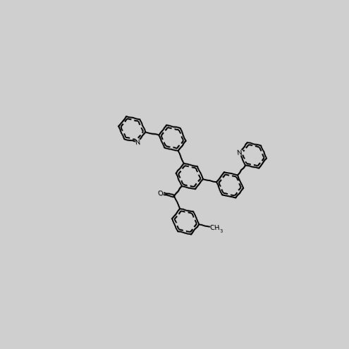 Cc1cccc(C(=O)c2cc(-c3cccc(-c4ccccn4)c3)cc(-c3cccc(-c4ccccn4)c3)c2)c1